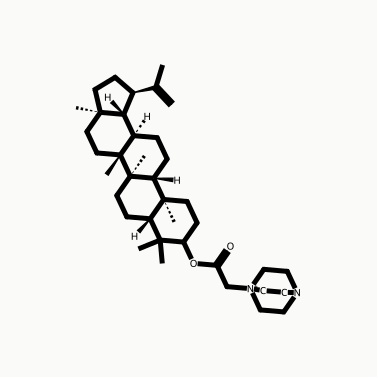 C=C(C)[C@@H]1CC[C@]2(C)CC[C@]3(C)[C@H](CC[C@@H]4[C@@]5(C)CCC(OC(=O)C[N+]67CCN(CC6)CC7)C(C)(C)[C@@H]5CC[C@]43C)[C@@H]12